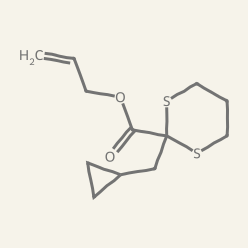 C=CCOC(=O)C1(CC2CC2)SCCCS1